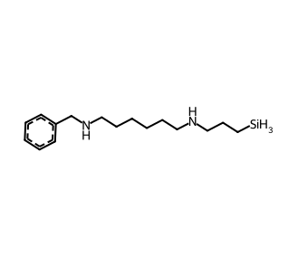 [SiH3]CCCNCCCCCCNCc1ccccc1